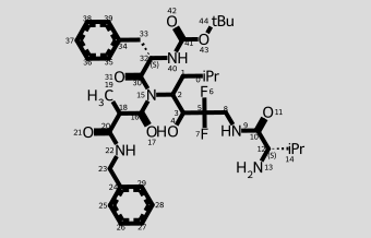 CC(C)CC(C(O)C(F)(F)CNC(=O)[C@@H](N)C(C)C)N(C(=O)C(C)C(=O)NCc1ccccc1)C(=O)[C@H](Cc1ccccc1)NC(=O)OC(C)(C)C